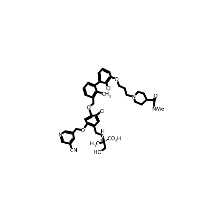 CNC(=O)C1CCN(CCCOc2cccc(-c3cccc(COc4cc(OCc5cncc(C#N)c5)c(CN[C@](C)(CO)C(=O)O)cc4Cl)c3C)c2Cl)CC1